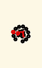 C1=CC2c3ccc4c5ccccc5n(-c5ccc(C(c6ccc(-n7c8ccccc8c8ccc9c(c87)N(c7ccccc7)C7C=CC=CC97)cc6)(c6ccc(-n7c8ccccc8c8ccc9c%10ccccc%10n(-c%10ccccc%10)c9c87)cc6)c6ccc(-n7c8ccccc8c8ccc9c%10ccccc%10n(-c%10ccccc%10)c9c87)cc6)cc5)c4c3N(c3ccccc3)C2C=C1